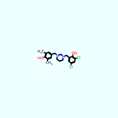 Cc1cc(CN2CCCN(Cc3cc(Cl)cc(Cl)c3O)C2)cc(C)c1O